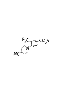 N#CC1CCN(c2ccc(C(=O)O)cc2C(F)(F)F)CC1